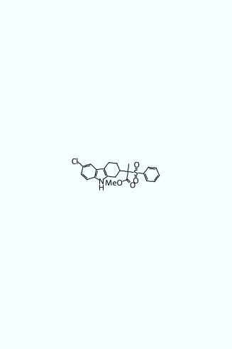 COC(=O)C(C)(C1CCc2c([nH]c3ccc(Cl)cc23)C1)S(=O)(=O)c1ccccc1